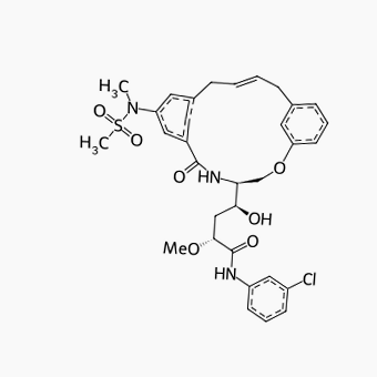 CO[C@H](C[C@H](O)[C@@H]1COc2cccc(c2)C/C=C/Cc2cc(cc(N(C)S(C)(=O)=O)c2)C(=O)N1)C(=O)Nc1cccc(Cl)c1